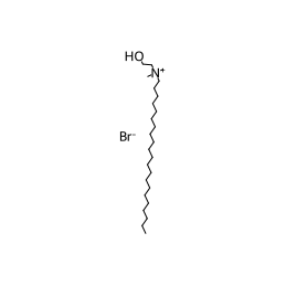 CCCCCCCCCCCCCCCCCCCCC[N+](C)(C)CCO.[Br-]